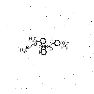 COCCOC(C)c1ccccc1Oc1ncccc1NC(=O)Nc1ccc(OC(F)(F)F)cc1